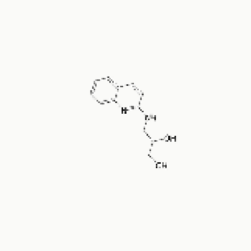 OCC(O)CNc1ccc2ccccc2n1